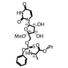 CO[C@]1(COP(=S)(N[C@H](C)C(=O)OC(C)C)Oc2ccccc2)O[C@@H](n2ccc(=O)[nH]c2=O)[C@H](O)[C@@H]1O